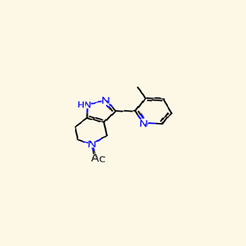 CC(=O)N1CCc2[nH]nc(-c3ncccc3C)c2C1